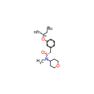 CCC[C@@H](CC(C)CC)Oc1cccc(C[S+]([O-])N(C)C2CCOCC2)c1